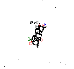 COO[C@]1(C)c2oncc2C[C@]2(C)C3=CC(=O)[C@@H]4[C@@H]5CC(C)(C)CC[C@]5(C(=O)Cl)CC[C@@]4(C)[C@]3(C)CC[C@H]21